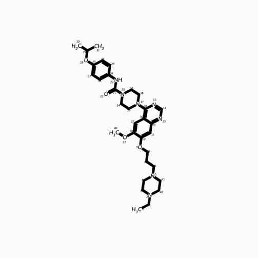 CCN1CCN(CCCOc2cc3ncnc(N4CCN(C(=O)Nc5ccc(OC(C)C)cc5)CC4)c3cc2OC)CC1